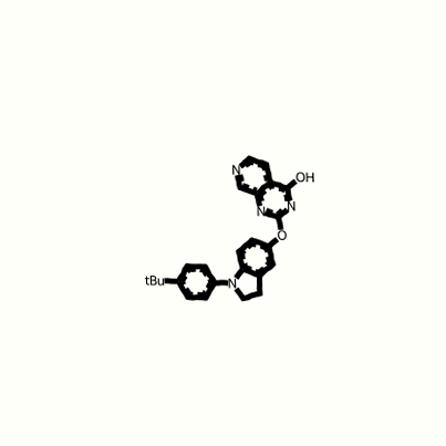 CC(C)(C)c1ccc(N2CCc3cc(Oc4nc(O)c5ccncc5n4)ccc32)cc1